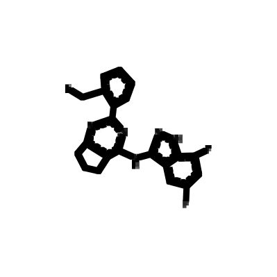 FCc1ccccc1-c1nc2c(c(Nc3n[nH]c4c(F)cc(F)cc34)n1)CCC2